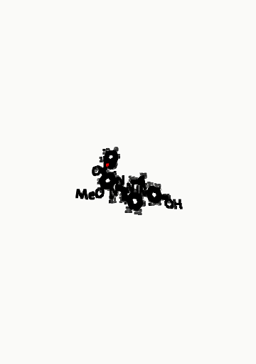 COc1cc(C(=O)N2CC3CCC2[C@@H]3C)cc2nc(-c3cc4cccc(Nc5ccc(CO)cc5)c4n3CC3CC3)n(C)c12